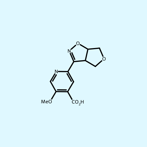 COc1cnc(C2=NOC3COCC23)cc1C(=O)O